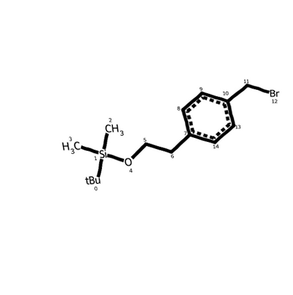 CC(C)(C)[Si](C)(C)OCCc1ccc(CBr)cc1